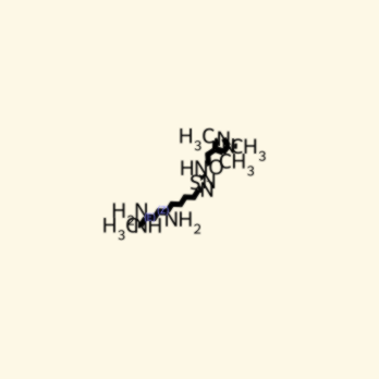 CN/C(N)=C/C=C(\N)CCCCc1nnc(NC(=O)Cc2c(C)nn(C)c2C)s1